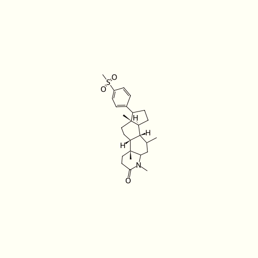 CC1CC2N(C)C(=O)CC[C@]2(C)[C@@H]2CC[C@]3(C)C(c4ccc(S(C)(=O)=O)cc4)CC[C@H]3[C@H]12